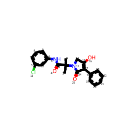 CC(C)(C(=O)Nc1cccc(Cl)c1)N1CC(O)=C(c2ccccc2)C1=O